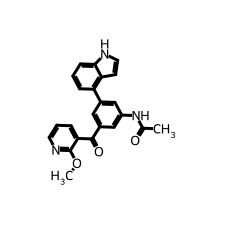 COc1ncccc1C(=O)c1cc(NC(C)=O)cc(-c2cccc3[nH]ccc23)c1